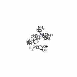 CC(C)(O/N=C(\C(=O)N[C@@H]1C(=O)N2C(c3nnn[nH]3)=C(C[N+]3(C)Cc4cc(O)c(O)cc4C3)CS[C@H]12)c1cnc(N)s1)C(=O)O